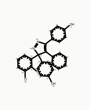 Oc1ccc(C2=C(c3ccccc3)C(c3ccc(O)cc3)(c3cccc(Cl)c3Cl)N=N2)cc1